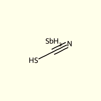 N#CS.[SbH3]